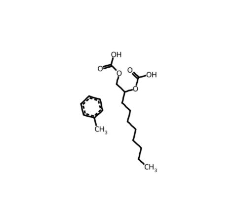 CCCCCCCCC(COC(=O)O)OC(=O)O.Cc1ccccc1